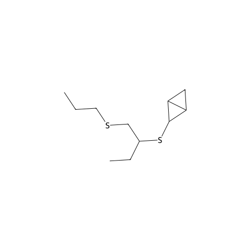 CCCSCC(CC)SC1C2CC21